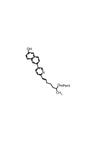 CCCCCOC(C)CCC/C=C/c1ccc(-c2ccc3cc(O)ccc3c2)cn1